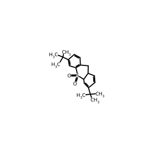 CC(C)(C)C1=CC2C(C=C1)Cc1ccc(C(C)(C)C)cc1S2(=O)=O